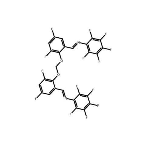 Fc1cc(F)c(OCOc2c(F)cc(F)cc2/C=N/c2c(F)c(F)c(F)c(F)c2F)c(/C=N/c2c(F)c(F)c(F)c(F)c2F)c1